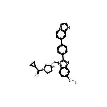 Cc1ccc2c(c1)nc(-c1ccc(-c3ccn4ccnc4c3)cc1)n2C[C@@H]1CCN(C(=O)C2CC2)C1